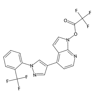 O=C(On1ccc2c(-c3cnn(-c4ccccc4C(F)(F)F)c3)ccnc21)C(F)(F)F